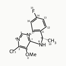 COc1c(Cl)ncnc1N[C@@H](C)c1ccc(F)cc1